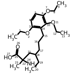 CCOc1ccc(OCC)c(OCC)c1CCCC(CC)CC(C)(N)C(=O)O